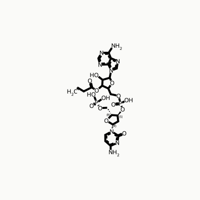 C=CCC(=O)OC1C(COP(=O)(O)O[C@H]2C[C@H](n3ccc(N)nc3=O)O[C@@H]2COP(=O)(O)O)OC(n2cnc3c(N)ncnc32)C1O